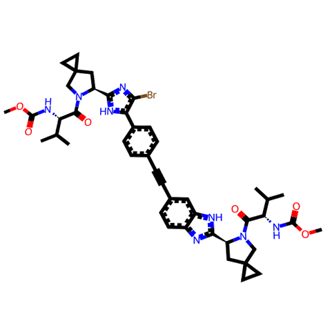 COC(=O)N[C@H](C(=O)N1CC2(CC2)C[C@H]1c1nc(Br)c(-c2ccc(C#Cc3ccc4nc([C@@H]5CC6(CC6)CN5C(=O)[C@@H](NC(=O)OC)C(C)C)[nH]c4c3)cc2)[nH]1)C(C)C